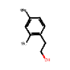 CC(C)(C)c1ccc(CCO)c(C(C)(C)C)c1